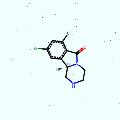 O=C1c2c(cc(Br)cc2C(F)(F)F)[C@@H]2CNCCN12